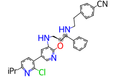 CC(C)c1ccc(-c2cnc3c(c2)NC[C@@H]([C@H](NCCc2ccc(C#N)cc2)c2ccccc2)O3)c(Cl)n1